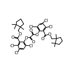 CC1(C)CCCC1(C)COC(=O)c1c(Cl)c(Cl)cc(Cl)c1OC(=O)C(=O)Oc1c(Cl)cc(Cl)c(Cl)c1C(=O)OCC1(C)CCCC1(C)C